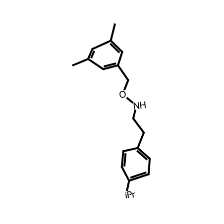 Cc1cc(C)cc(CONCCc2ccc(C(C)C)cc2)c1